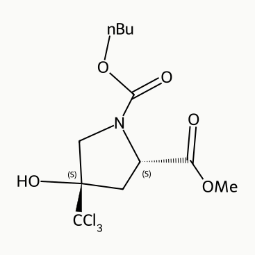 CCCCOC(=O)N1C[C@](O)(C(Cl)(Cl)Cl)C[C@H]1C(=O)OC